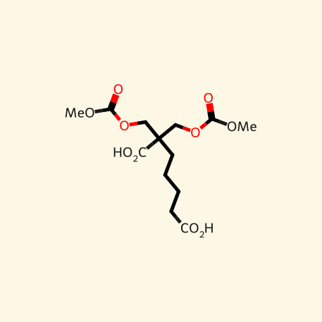 COC(=O)OCC(CCCCC(=O)O)(COC(=O)OC)C(=O)O